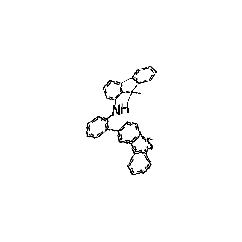 CC1(C)c2ccccc2-c2cccc(Nc3ccccc3-c3ccc4sc5ccccc5c4c3)c21